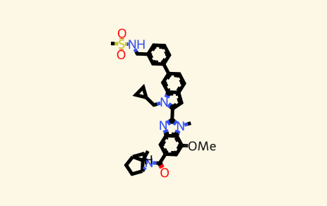 COc1cc(C(=O)N2CC3CCC2[C@@H]3C)cc2nc(-c3cc4ccc(-c5cccc(CNS(C)(=O)=O)c5)cc4n3CC3CC3)n(C)c12